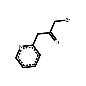 O=C(CBr)Cc1ccccn1